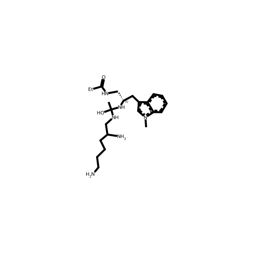 CCC(=O)NC[C@H](Cc1cn(C)c2ccccc12)NC(C)(O)NCC(N)CCCCN